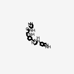 O=C(Nc1ccnnc1)C1C=Cc2ccc(-c3nccc(Nc4ccc5[nH]ncc5c4)n3)cc2N1